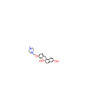 CN1CCN(CCOc2ccc(Cc3c(O)ccc4cc(O)ccc34)cc2)CC1